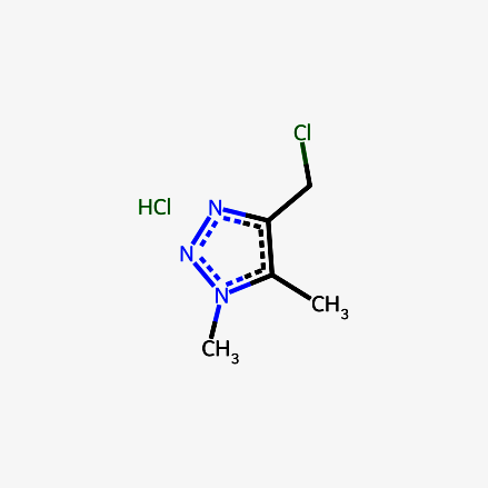 Cc1c(CCl)nnn1C.Cl